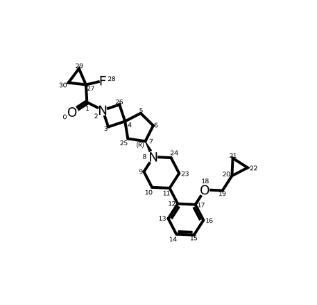 O=C(N1CC2(CC[C@@H](N3CCC(c4ccccc4OCC4CC4)CC3)C2)C1)C1(F)CC1